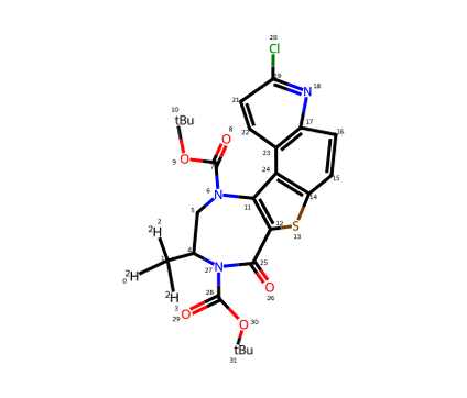 [2H]C([2H])([2H])C1CN(C(=O)OC(C)(C)C)c2c(sc3ccc4nc(Cl)ccc4c23)C(=O)N1C(=O)OC(C)(C)C